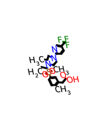 C=CC(N1C(C)CN(c2ccc(C(F)(F)F)cn2)CC1C)S(=O)(=O)c1ccc(C)c(CC(=O)O)c1